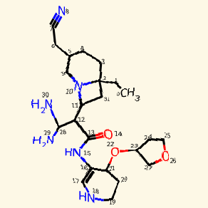 CCC12CCC(CC#N)CN1C(C(C(=O)NC1=CNCCC1O[C@H]1CCOC1)C(N)N)C2